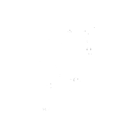 CCOC(=O)c1cccc(N[S+](C)[O-])c1